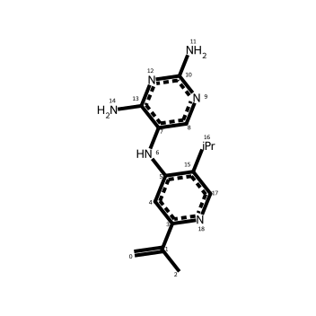 C=C(C)c1cc(Nc2cnc(N)nc2N)c(C(C)C)cn1